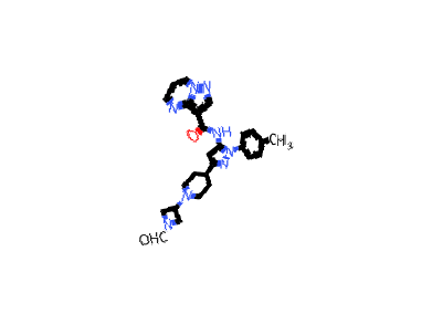 Cc1ccc(-n2nc(C3CCN(C4CN(C=O)C4)CC3)cc2NC(=O)c2cnn3cccnc23)cc1